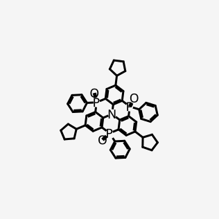 O=P1(c2ccccc2)c2cc(C3CCCC3)cc3c2N2c4c1cc(C1CCCC1)cc4P(=O)(c1ccccc1)c1cc(C4CCCC4)cc(c12)P3(=O)c1ccccc1